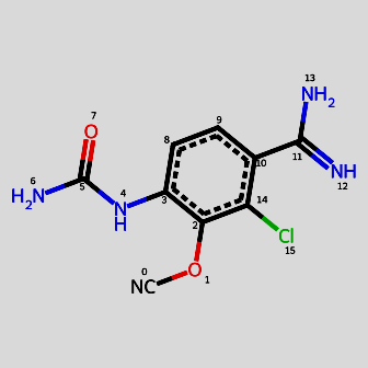 N#COc1c(NC(N)=O)ccc(C(=N)N)c1Cl